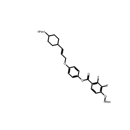 CCCCCCCCCOc1ccc(C(=O)Oc2ccc(OCC=CC3CCC(CCCCC)CC3)cc2)c(F)c1F